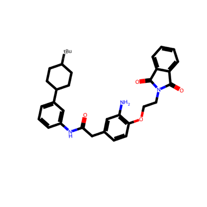 CC(C)(C)C1CCC(c2cccc(NC(=O)Cc3ccc(OCCN4C(=O)c5ccccc5C4=O)c(N)c3)c2)CC1